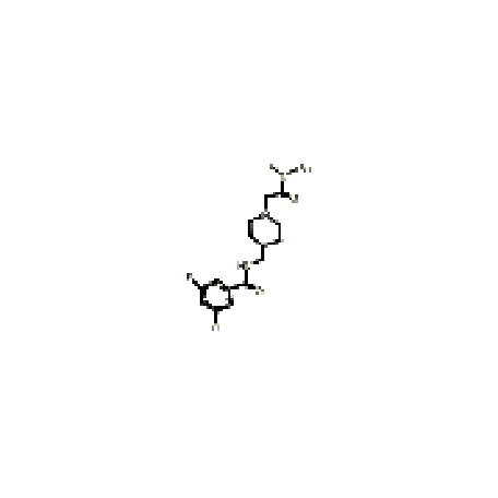 CN(C(=O)CN1CCC(CNC(=O)c2cc(F)cc(Cl)c2)CC1)C(C)(C)C